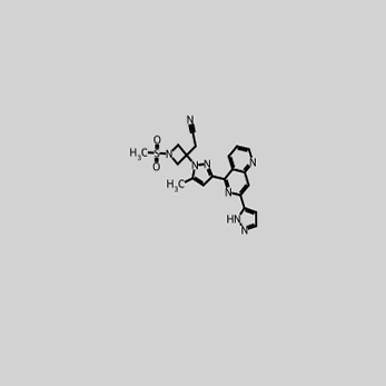 Cc1cc(-c2nc(-c3ccn[nH]3)cc3ncccc23)nn1C1(CC#N)CN(S(C)(=O)=O)C1